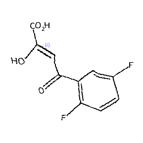 O=C(O)/C(O)=C/C(=O)c1cc(F)ccc1F